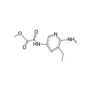 CCc1cc(NC(=O)C(=O)OC)cnc1N